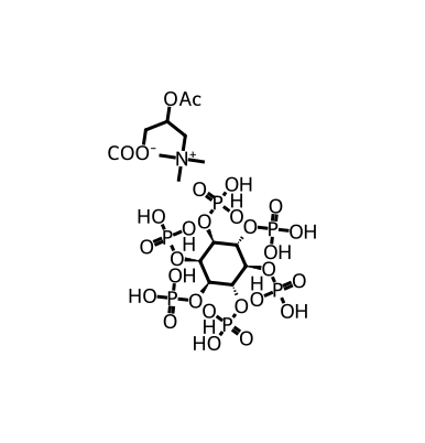 CC(=O)OC(CC(=O)[O-])C[N+](C)(C)C.O=P(O)(O)O[C@H]1[C@H](OP(=O)(O)O)[C@@H](OP(=O)(O)O)[C@H](OP(=O)(O)O)[C@@H](OP(=O)(O)O)[C@H]1OP(=O)(O)O